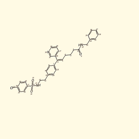 O=C(CCCC=C(c1ccc(CCNS(=O)(=O)c2ccc(Cl)cc2)cc1)c1cccnc1)NCc1ccccc1